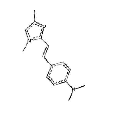 Cc1c[n+](C)c(/C=C/c2ccc(N(C)C)cc2)o1